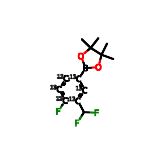 CC1(C)OB([13c]2[13cH][13cH][13c](F)[13c](C(F)F)[13cH]2)OC1(C)C